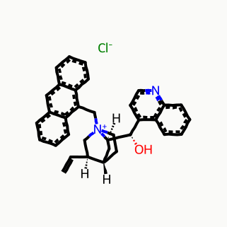 C=C[C@H]1C[N+]2(Cc3c4ccccc4cc4ccccc34)CC[C@H]1C[C@@H]2[C@@H](O)c1ccnc2ccccc12.[Cl-]